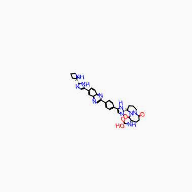 O=C(O)N[C@H]1CCC(=O)N2CCC[C@@H](c3ncc(-c4ccc(-c5cnc6cc(-c7cnc([C@@H]8CCCN8)[nH]7)ccc6n5)cc4)[nH]3)N2C1=O